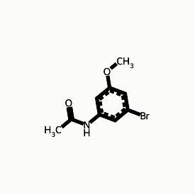 COc1cc(Br)cc(NC(C)=O)c1